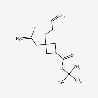 C=CCOC1(CC(=C)F)CN(C(=O)OC(C)(C)C)C1